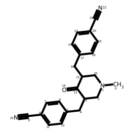 CN1CC(Cc2ccc(C#N)cc2)C(=O)C(Cc2ccc(C#N)cc2)C1